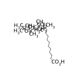 C[Si](C)(C)O[Si](C)(C)CC[Si](C)(C)O[Si](C)(C)CCCCCCCCCCC(=O)O